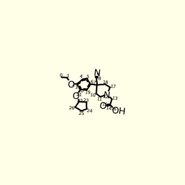 CCOc1ccc(C2(C#N)CCN(CC(=O)O)CC2)cc1OC1CCCC1